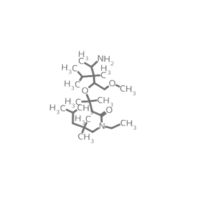 CCN(CC(C)(C)CC(C)C)C(=O)CC(C)(C)OC(COC)C(C)(C(C)C)C(C)N